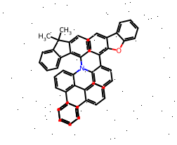 CC1(C)c2ccccc2-c2c(N(c3ccccc3-c3cccc4c3oc3ccccc34)c3cccc(-c4ccccc4)c3-c3ccccc3-c3ccccc3)cccc21